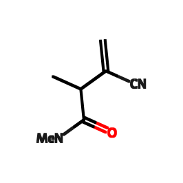 C=C(C#N)C(C)C(=O)NC